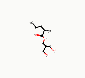 CC(C)C(CCC(C)(C)C)C(=O)OCC(CO)CO